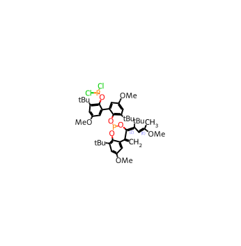 C=c1/c(=C(\C=C(/C)OC)C(C)(C)C)op(Oc2c(-c3cc(OC)cc(C(C)(C)C)c3OP(Cl)Cl)cc(OC)cc2C(C)(C)C)oc2c(C(C)(C)C)cc(OC)cc12